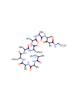 CCCCCC(NC(=O)C(CCCC)NC(=O)C(CCCCC)NC(=O)C(NC(=O)C(NC(=O)C(NC(C)C)C(C)C)C(C)C)C(C)C)C(=O)NC(CCC)C(=O)NC(CCCC)C(=O)NC(C(=O)C(C(=O)NCC(=O)O)C(C)C)C(C)C